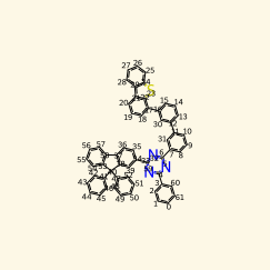 c1ccc(-c2nc(-c3cccc(-c4cccc(-c5cccc6c5sc5ccccc56)c4)c3)nc(-c3ccc4c(c3)C(c3ccccc3)(c3ccccc3)c3ccccc3-4)n2)cc1